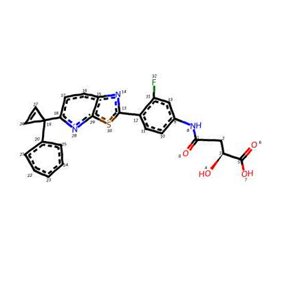 O=C(C[C@H](O)C(=O)O)Nc1ccc(-c2nc3ccc(C4(c5ccccc5)C=C4)nc3s2)c(F)c1